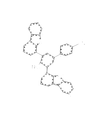 N#Cc1ccc(-c2cc(-c3cccc4c3sc3ccccc34)c(C#N)c(-c3cccc4c3sc3ccccc34)c2)cc1